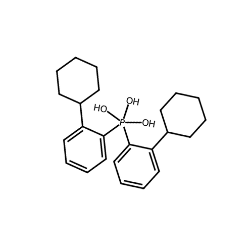 OP(O)(O)(c1ccccc1C1CCCCC1)c1ccccc1C1CCCCC1